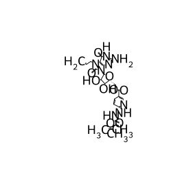 C=CCn1c(=O)n([C@@H]2O[C@H](COC(=O)c3ccc(NNC(=O)OC(C)(C)C)nc3)[C@H](O)[C@H]2O)c2nc(N)[nH]c(=O)c21